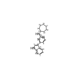 c1cnc2[nH]cc(-c3ccnc(NC4CCCCCC4)n3)c2c1